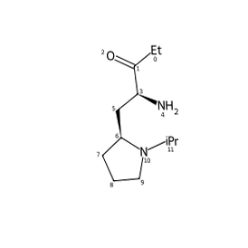 CCC(=O)[C@@H](N)C[C@@H]1CCCN1C(C)C